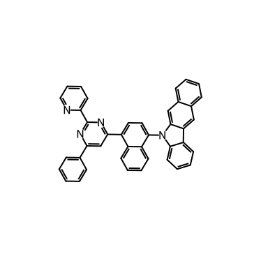 c1ccc(-c2cc(-c3ccc(-n4c5ccccc5c5cc6ccccc6cc54)c4ccccc34)nc(-c3ccccn3)n2)cc1